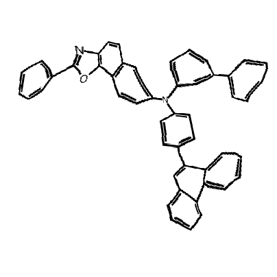 c1ccc(-c2cccc(N(c3ccc(-c4cc5ccccc5c5ccccc45)cc3)c3ccc4c(ccc5nc(-c6ccccc6)oc54)c3)c2)cc1